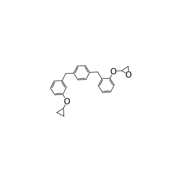 c1cc(Cc2ccc(Cc3ccccc3OC3CO3)cc2)cc(OC2CC2)c1